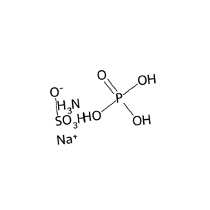 N.O=P(O)(O)O.O=S(=O)([O-])O.[Na+]